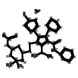 CC(C)c1c(C(=O)Nc2ccccc2)c(-c2ccccc2)c(-c2ccc(F)cc2)n1CCC1C[C@H](CC(=O)[O-])OC(C)(C)O1.[Na+]